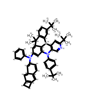 CC(C)(C)c1ccc(N2c3cnc(C(C)(C)C)cc3B3c4cc(C(C)(C)C)ccc4C(C)(C)c4cc(N(c5ccccc5)c5ccc6cc7c(cc6c5)CC7)cc2c43)cc1